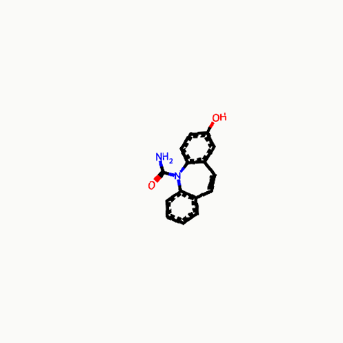 NC(=O)N1c2ccccc2C=Cc2cc(O)ccc21